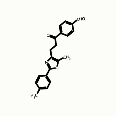 Cc1ccc(-c2nc(CCC(=O)c3ccc(C=O)cc3)c(C)o2)cc1